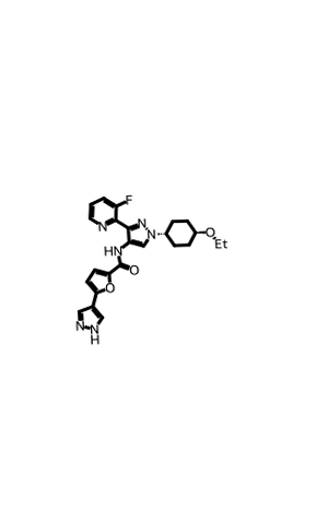 CCO[C@H]1CC[C@H](n2cc(NC(=O)c3ccc(-c4cn[nH]c4)o3)c(-c3ncccc3F)n2)CC1